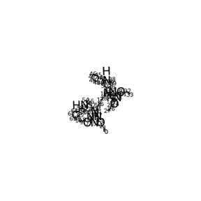 C=CCOc1nc(OCC=C)nc(N(CCCCCCN(c2nc(OCC=C)nc(OCC=C)n2)C2CC(C)(C)NC(C)(Cc3ccccc3)C2)C2CC(C)(C)NC(C)(Cc3ccccc3)C2)n1